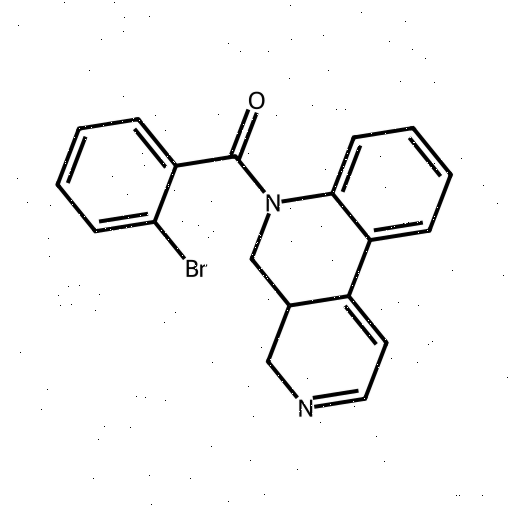 O=C(c1ccccc1Br)N1CC2CN=CC=C2c2ccccc21